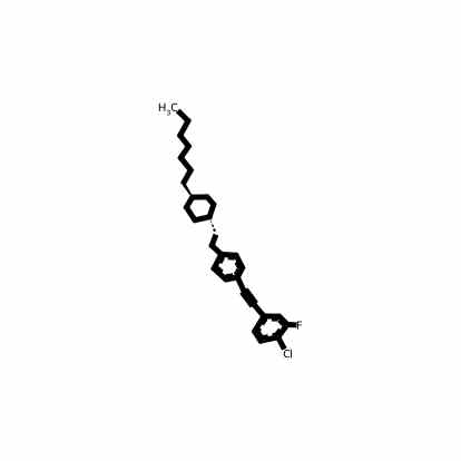 CCCCCCC[C@H]1CC[C@H](CCc2ccc(C#Cc3ccc(Cl)c(F)c3)cc2)CC1